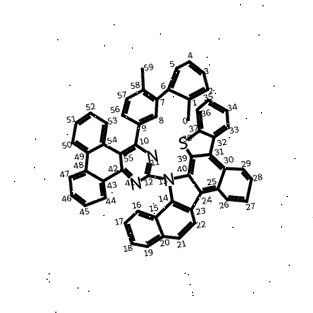 Cc1ccccc1-c1cc(-c2nc(-n3c4c5ccccc5ccc4c4c5ccccc5c5c6ccccc6sc5c43)nc3c4ccccc4c4ccccc4c23)ccc1C